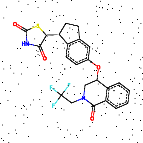 O=C1NC(=O)C([C@@H]2CCc3cc(OC4CN(CC(F)(F)F)C(=O)c5ccccc54)ccc32)S1